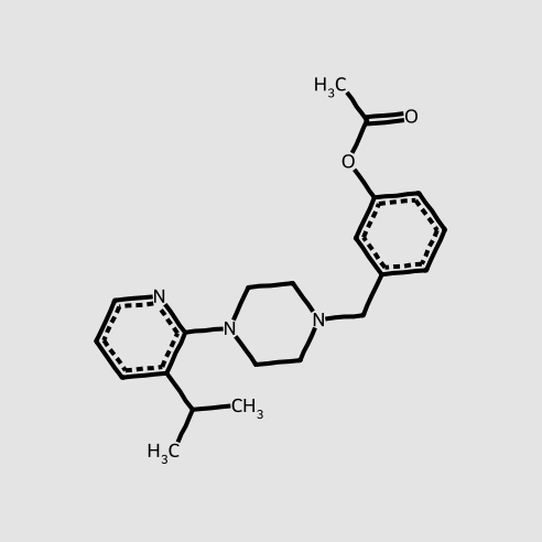 CC(=O)Oc1cccc(CN2CCN(c3ncccc3C(C)C)CC2)c1